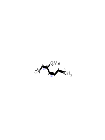 C=C/C=C\C(=C/N=O)OC